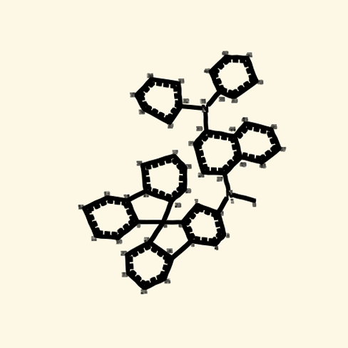 CN(c1ccc2c(c1)C1(c3ccccc3-c3ccccc31)c1ccccc1-2)c1ccc(N(c2ccccc2)c2ccccc2)c2ccccc12